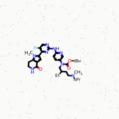 CCCN(C)CCC(CC)CN(C(=O)OC(C)(C)C)c1ccc(Nc2ncc(F)c(-c3cc4c(n3C)CCNC4=O)n2)nc1